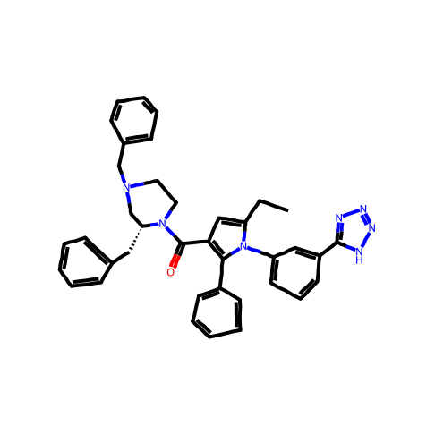 CCc1cc(C(=O)N2CCN(Cc3ccccc3)C[C@H]2Cc2ccccc2)c(-c2ccccc2)n1-c1cccc(-c2nnn[nH]2)c1